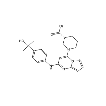 CC(C)(O)c1ccc(Nc2cc(N3CCC[C@@H](C(=O)O)C3)n3nccc3n2)cc1